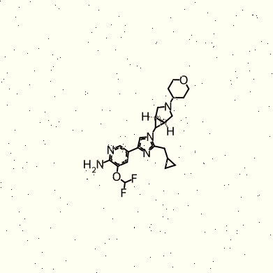 Nc1ncc(-c2cn(C3[C@H]4CN(C5CCOCC5)C[C@@H]34)c(CC3CC3)n2)cc1OC(F)F